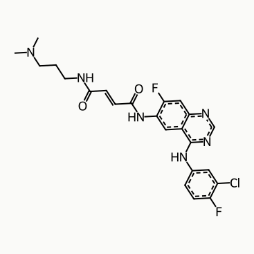 CN(C)CCCNC(=O)C=CC(=O)Nc1cc2c(Nc3ccc(F)c(Cl)c3)ncnc2cc1F